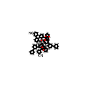 N#Cc1cccc(-c2ccc(-n3c4ccc(-c5ccccc5)cc4c4cc(-c5ccccc5)ccc43)c(-c3nc(-c4ccccc4-c4ccccc4C#N)nc(-c4cc(-c5cccc(C#N)c5)ccc4-n4c5ccc(-c6ccccc6)cc5c5cc(-c6ccccc6)ccc54)n3)c2)c1